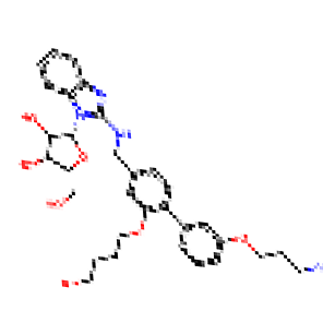 NCCCOc1cccc(-c2ccc(CNc3nc4ccccc4n3[C@@H]3O[C@H](CO)[C@@H](O)[C@H]3O)cc2OCCCCO)c1